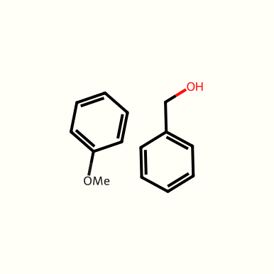 COc1ccccc1.OCc1ccccc1